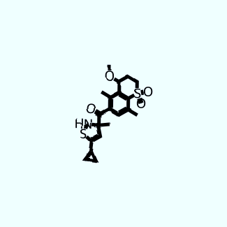 COC1CCS(=O)(=O)c2c(C)cc(C(=O)C3(C)C=C(C4CC4)SN3)c(C)c21